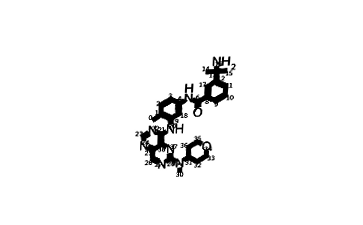 Cc1ccc(NC(=O)c2cccc(C(C)(C)N)c2)cc1Nc1ncnc2cnc(N(C)C3CCOCC3)nc12